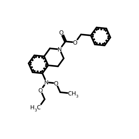 CCON(OCC)c1cccc2c1CCN(C(=O)OCc1ccccc1)C2